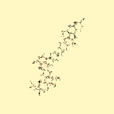 Cn1nc(C2CCC(=O)NC2=O)c2cccc(N3CCC(CN4CCN(c5ncc(F)c(Nc6ccc7c(c6)c6c(c(=O)n7C)OCC(F)(F)[C@H](C7CC7)N6)n5)[C@@H](CO)C4)CC3)c21